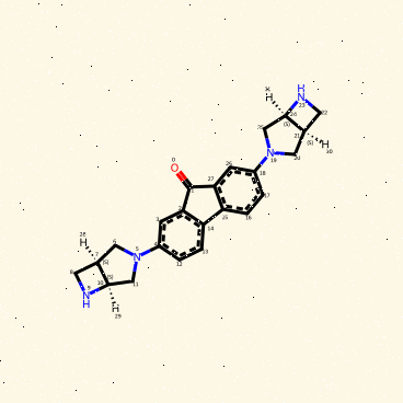 O=C1c2cc(N3C[C@@H]4CN[C@@H]4C3)ccc2-c2ccc(N3C[C@@H]4CN[C@@H]4C3)cc21